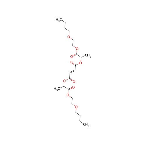 CCCCOCCOC(=O)C(C)OC(=O)/C=C/C(=O)OC(C)C(=O)OCCOCCCC